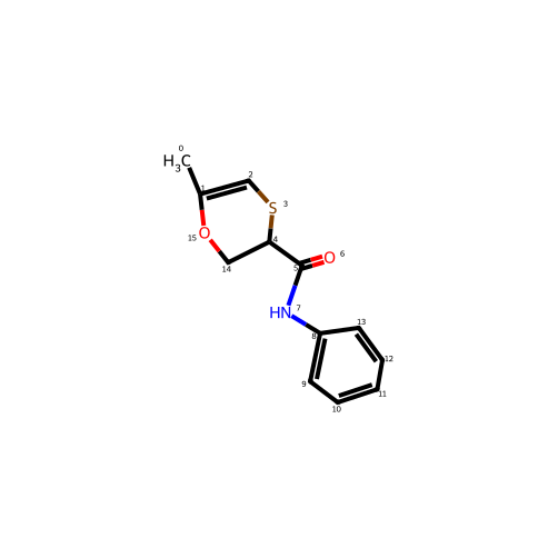 CC1=CSC(C(=O)Nc2ccccc2)CO1